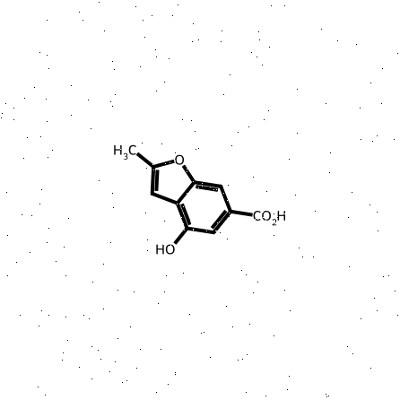 Cc1cc2c(O)cc(C(=O)O)cc2o1